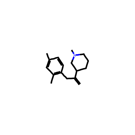 C=C(Cc1ccc(C)cc1C)C1CCCN(C)C1